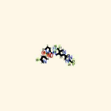 C[C@H]1CC[C@@H](C(=O)NCc2cc(-c3cnc(C(F)(F)F)nc3)ncc2C(F)(F)F)N1S(=O)(=O)c1cncc(F)c1